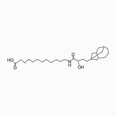 O=C(O)CCCCCCCCCCCNC(=O)C(O)CCC12CC3CCCC(C1)C(C3)C2